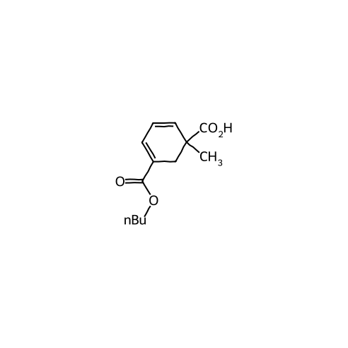 CCCCOC(=O)C1=CC=CC(C)(C(=O)O)C1